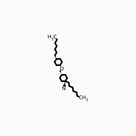 CCCCCCC[C@H]1CC[C@H](OC[C@H]2CC[C@@](C#N)(CCCCCCC)CC2)CC1